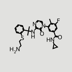 Cc1c(F)cc(C(=O)NC2CC2)cc1-n1ccnc(NC(C)(C)c2ccccc2SCCN)c1=O